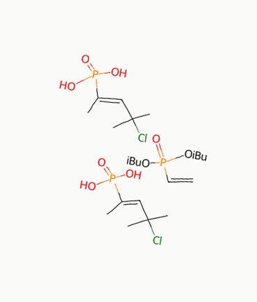 C=CP(=O)(OCC(C)C)OCC(C)C.CC(=CC(C)(C)Cl)P(=O)(O)O.CC(=CC(C)(C)Cl)P(=O)(O)O